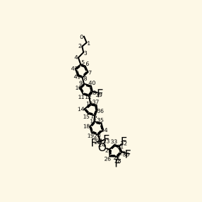 CCCCCc1ccc(-c2ccc(-c3ccc(-c4ccc(C(F)(F)Oc5cc(F)c(F)c(F)c5)cc4)cc3)c(F)c2)cc1